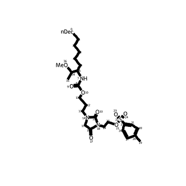 CCCCCCCCCCCCCCCC(NC(=O)OCCCN1CC(=O)N(CCOS(=O)(=O)c2ccc(C)cc2)C1=O)C(C)OC